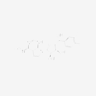 O/N=C1\N=CNC2C1CCN2[C@@H]1O[C@H]([C@H](O)c2ccc(Cl)c(Cl)c2)[C@@H](O)[C@H]1O